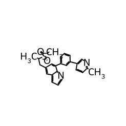 Cc1ccc(-c2cccc(-c3cc(CC(C)S(C)(=O)=O)cc4cccnc34)c2)cn1